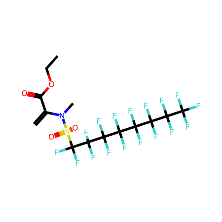 C=C(C(=O)OCC)N(C)S(=O)(=O)C(F)(F)C(F)(F)C(F)(F)C(F)(F)C(F)(F)C(F)(F)C(F)(F)C(F)(F)F